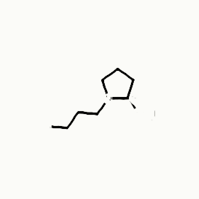 O=C(O)[C@@H]1CCCN1CCCS